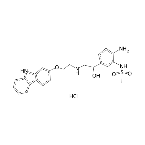 CS(=O)(=O)Nc1cc(C(O)CNCCOc2ccc3c(c2)[nH]c2ccccc23)ccc1N.Cl